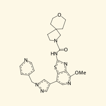 COc1ncc(-c2cnn(Cc3ccncc3)c2)c2sc(NC(=O)N3CCC4(CCOCC4)C3)nc12